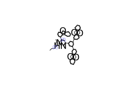 CC/C=C\CC(C)N(C)/C(=C\C(=N)c1cc(-c2ccc3c(c2)Oc2ccccc2O3)cc(-c2ccc3c(c2)Oc2ccccc2O3)c1)c1cccc2oc3ccccc3c12